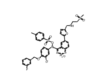 Cc1ccc(S(=O)(=O)ON(c2ccc(OCc3cccc(F)c3)c(Cl)c2)c2ncnc3ccc(-c4ccc(CNCCS(C)(=O)=O)o4)cc23)cc1.O